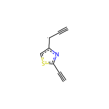 C#C[CH]c1csc(C#C)n1